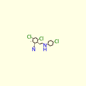 N#Cc1[c]c(Cl)cc(Cl)c1C=CNc1ccc(Cl)cc1